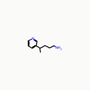 CC(CCCN)c1cccnc1